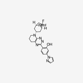 Oc1cc(-n2cccn2)ccc1-c1nnc2c(n1)CCCN2[C@@H]1C[C@H]2CC(F)(F)[C@@H](C1)N2